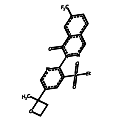 CCS(=O)(=O)c1cc(C2(C)CCO2)cnc1-n1ncc2ccc(C(F)(F)F)cc2c1=O